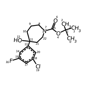 CC(C)(C)OC(=O)N1CCCC(O)(c2cc(F)cc(Cl)c2)CC1